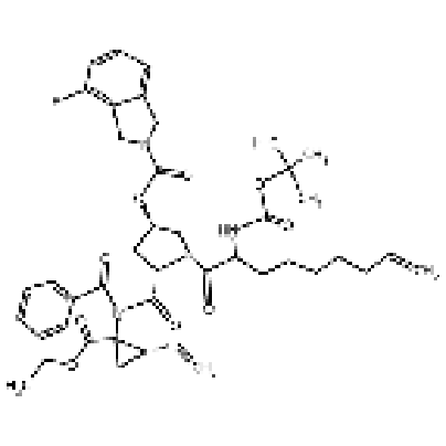 C=CCCCCCC(NC(=O)OC(C)(C)C)C(=O)N1C[C@H](OC(=O)N2Cc3cccc(F)c3C2)C[C@H]1C(=O)N(C(=O)c1ccccc1)[C@]1(C(=O)OCC)C[C@H]1C=C